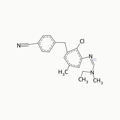 CCN(C)/C=N\c1cc(C)cc(Cc2ccc(C#N)cc2)c1Cl